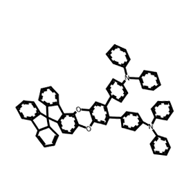 C1=CC2c3ccccc3C3(c4ccccc4-c4c3ccc3c4Oc4cc(-c5ccc(N(c6ccccc6)c6ccccc6)cc5)c(-c5ccc(N(c6ccccc6)c6ccccc6)cc5)cc4O3)C2C=C1